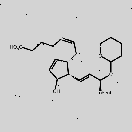 CCCCC[C@@H](/C=C/[C@H]1C(O)C=C[C@@H]1C/C=C\CCCC(=O)O)OC1CCCCO1